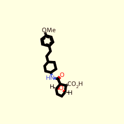 COc1ccc(CCC2CCC(NC(=O)C3C(C(=O)O)[C@H]4CC[C@@H]3O4)CC2)cc1